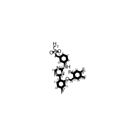 CS(=O)(=O)Cc1cccc(Nc2ncnc(-c3ccc(F)cc3OCc3cc(F)c(F)cc3F)n2)c1